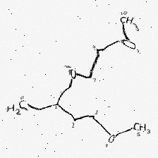 [CH2]C(CCOC)OCCOC